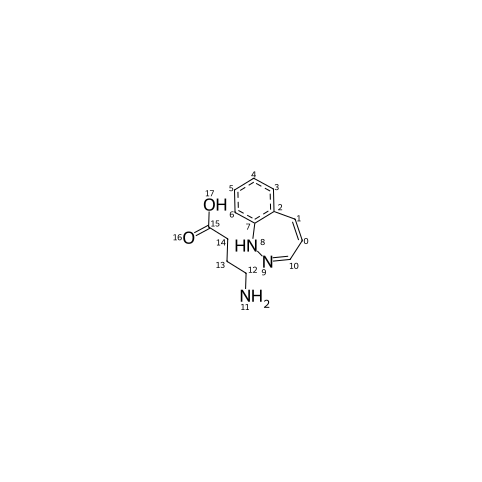 C1=Cc2ccccc2NN=C1.NCCCC(=O)O